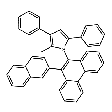 Cc1c(-c2ccccc2)cc(-c2ccccc2)n1-c1c(-c2ccc3ccccc3c2)c2ccccc2c2ccccc12